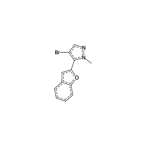 Cn1ncc(Br)c1-c1cc2ccccc2o1